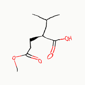 COC(=O)C[C@H](C(=O)O)C(C)C